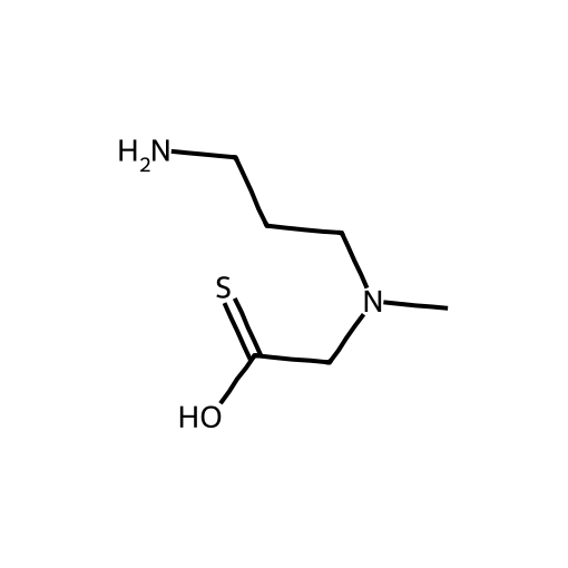 CN(CCCN)CC(O)=S